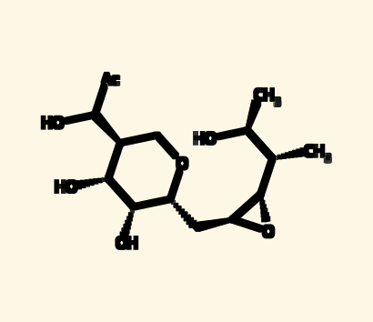 CC(=O)C(O)[C@H]1CO[C@H](C[C@@H]2O[C@H]2[C@@H](C)[C@H](C)O)[C@H](O)[C@@H]1O